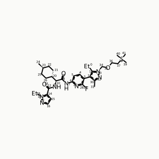 CCc1c(-c2ccc(NC(=O)[C@@H](NC(=O)c3ccnn3CC)[C@H]3CC[C@H](C)CC3)nc2F)c(C)nn1COCCS(C)(C)C